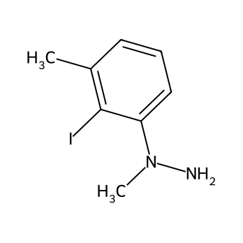 Cc1cccc(N(C)N)c1I